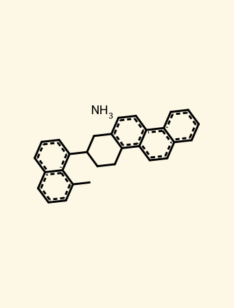 Cc1cccc2cccc(C3CCc4c(ccc5c4ccc4ccccc45)C3)c12.N